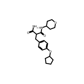 NC(=O)[C](Cc1ccc(OC2CCCC2)cc1)C(=O)NC1CCOCC1